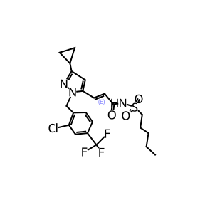 CCCCCS(=O)(=O)NC(=O)/C=C/c1cc(C2CC2)nn1Cc1ccc(C(F)(F)F)cc1Cl